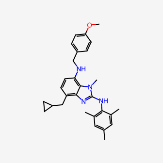 COc1ccc(CNc2ccc(CC3CC3)c3nc(Nc4c(C)cc(C)cc4C)n(C)c23)cc1